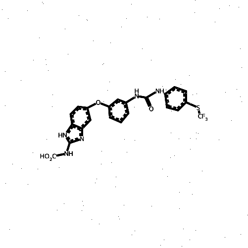 O=C(O)Nc1nc2cc(Oc3cccc(NC(=O)Nc4ccc(SC(F)(F)F)cc4)c3)ccc2[nH]1